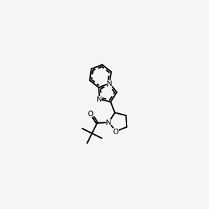 CC(C)(C)C(=O)N1OCCC1c1cn2ccccc2n1